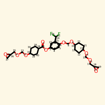 O=C(Oc1ccc(OCOC2CCC(OCOCC3CO3)CC2)c(C(F)F)c1)C1CCC(OCOCC2CO2)CC1